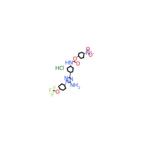 Cl.Nc1nc(-c2ccc(NC(=O)Oc3ccc([N+](=O)[O-])cc3)cc2)nn1-c1ccc(OC(F)(F)F)cc1